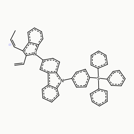 C=Cc1c(/C=C\C)c2ccccc2n1-c1ccc2c(c1)c1ccccc1n2-c1ccc(S(c2ccccc2)(c2ccccc2)c2ccccc2)cc1